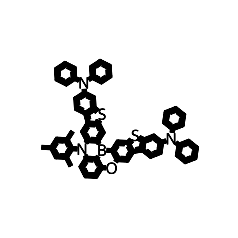 Cc1cc(C)c(N2c3cc4c(cc3B3c5cc6sc7cc(N(c8ccccc8)c8ccccc8)ccc7c6cc5Oc5cccc2c53)sc2cc(N(c3ccccc3)c3ccccc3)ccc24)c(C)c1